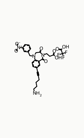 NCCCCC#Cc1ccc2c(c1)C(=O)N(CCC(=O)O)C(=O)CN2Cc1cccc([N+](=O)[O-])c1.O=C(O)C(F)(F)F